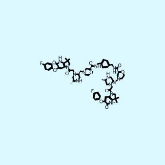 C[C@@H]1CN(CC(=O)N2CC(C)(C)c3[nH]c(=O)c(Oc4ccc(F)cc4)cc32)[C@@H](CN2CCO[C@H](C(=O)NCc3ccc(CNC(=O)[C@@H]4CN(C[C@H]5CN[C@H](C)CN5CC(=O)N5CC(C)(C)c6[nH]c(=O)c(Oc7ccc(F)cc7)cc65)CCO4)cc3)C2)CN1